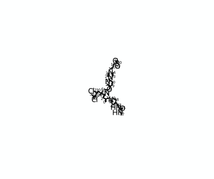 C=C(/C=C(\N=C(/C)Oc1ccc(N2CCN(CCCS(C)(=O)=O)CC2)nc1)C(C)(C)/C=C(Cl)\C=C(/C)Cl)CN1CCC(CNC(=O)NC)CC1